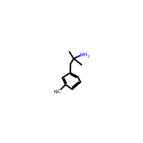 CC(C)(N)Cc1cccc(C#N)c1